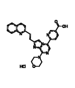 Cl.O=C(O)c1ccc(-c2cnc(N3CCOCC3)c3nc(C=Cc4ccc5ccccc5n4)cn23)nc1